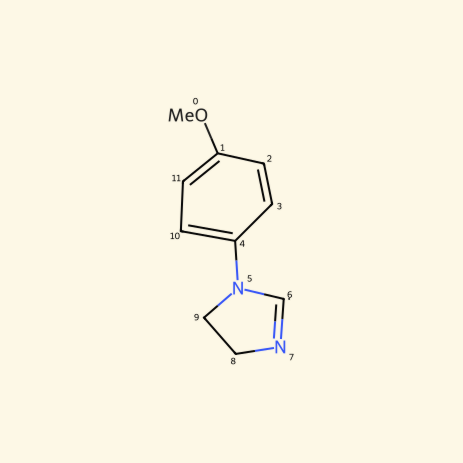 COc1ccc(N2[C]=NCC2)cc1